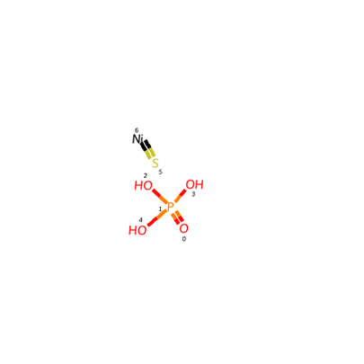 O=P(O)(O)O.[S]=[Ni]